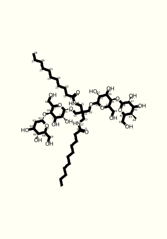 CCCCCCCCCCC(=O)NCC(CNC(=O)CCCCCCCCCC)(COC1OC(CO)[C@H](OC2OC(CO)[C@H](C)C(O)[C@H]2O)C(O)[C@H]1O)CO[C@H]1OC(CO)[C@H](O[C@H]2CC(O)[C@@H](O)C(CO)O2)C(O)[C@H]1O